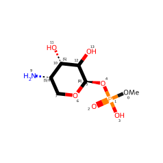 COP(=O)(O)O[C@H]1OC[C@H](N)[C@H](O)C1O